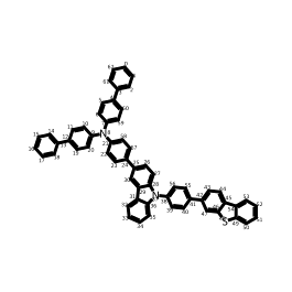 c1ccc(-c2ccc(N(c3ccc(-c4ccccc4)cc3)c3ccc(-c4ccc5c(c4)c4ccccc4n5-c4ccc(-c5ccc6c(c5)sc5ccccc56)cc4)cc3)cc2)cc1